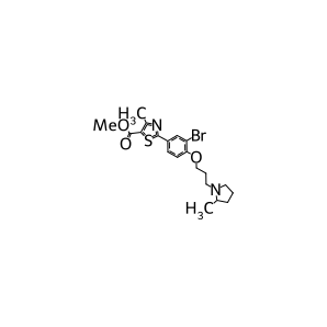 COC(=O)c1sc(-c2ccc(OCCCN3CCCC3C)c(Br)c2)nc1C